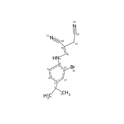 CC(C)c1ccc(N/C=C(\C#N)CC#N)c(Br)c1